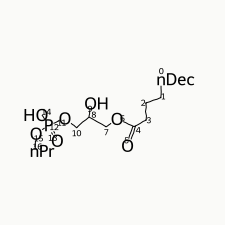 CCCCCCCCCCCCCC(=O)OCC(O)COP(=O)(O)OCCC